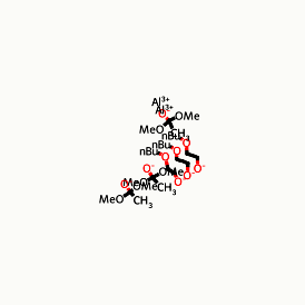 CCCCOCC[O-].CCCCOCC[O-].CCCCOCC[O-].COC(C)([O-])OC.COC(C)([O-])OC.COC(C)([O-])OC.[Al+3].[Al+3]